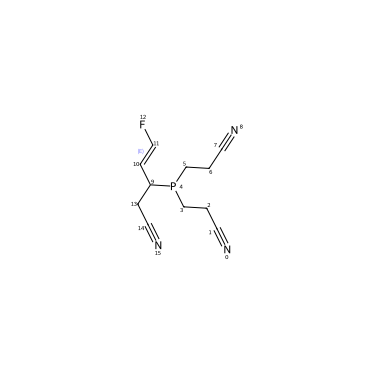 N#CCCP(CCC#N)C(/C=C/F)CC#N